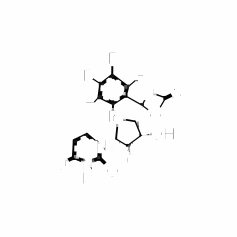 O=c1ccn([C@@H]2O[C@H](C3(c4c(F)c(F)c(F)c(F)c4F)OC(=S)O3)[C@@H](O)[C@H]2O)c(=O)[nH]1